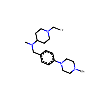 CCN1CCN(c2ccc(CN(C)C3CCN(CC(C)C)CC3)cc2)CC1